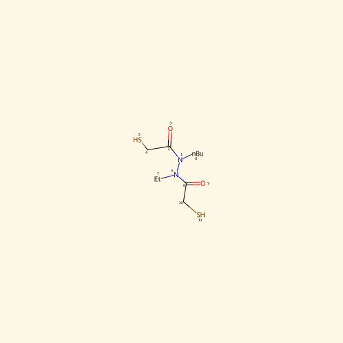 CCCCN(C(=O)CS)N(CC)C(=O)CS